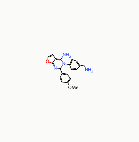 COc1ccc(C2N=c3occc3=C(N)N2c2ccc(CN)cc2)cc1